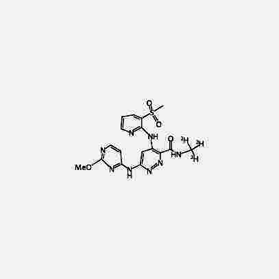 [2H]C([2H])([2H])NC(=O)c1nnc(Nc2ccnc(OC)n2)cc1Nc1ncccc1S(C)(=O)=O